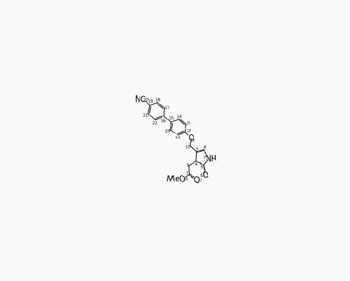 COC(=O)CC1C(=O)NCC1COc1ccc(-c2ccc(C#N)cc2)cc1